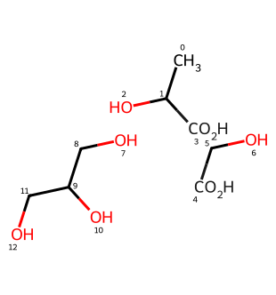 CC(O)C(=O)O.O=C(O)CO.OCC(O)CO